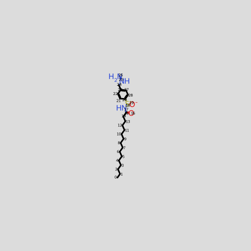 CCCCCCCCCCCCCCCC(=O)N[S+]([O-])c1ccc(CNN)cc1